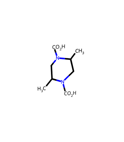 CC1CN(C(=O)O)C(C)CN1C(=O)O